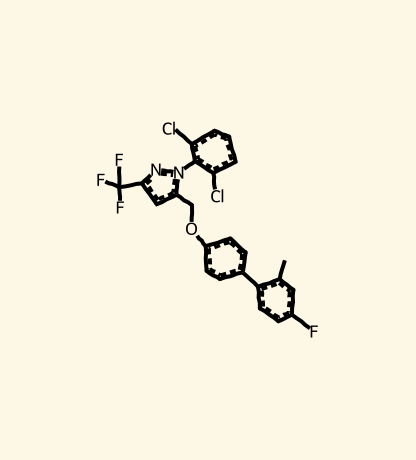 Cc1cc(F)ccc1-c1ccc(OCc2cc(C(F)(F)F)nn2-c2c(Cl)cccc2Cl)cc1